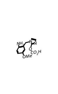 COc1ccc(N)c(Cn2ccnc2OC(=O)O)c1